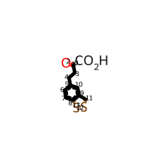 O=C(O)C(=O)CCc1ccc2c(c1)CSS2